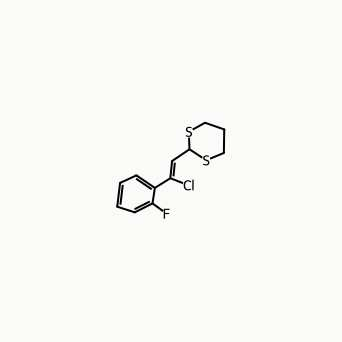 Fc1ccccc1/C(Cl)=C/C1SCCCS1